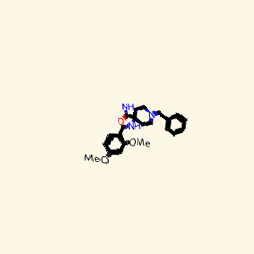 COc1ccc(CNC2(C(N)=O)CCN(Cc3ccccc3)CC2)c(OC)c1